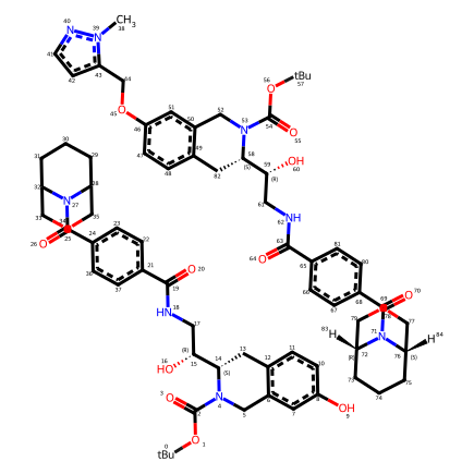 CC(C)(C)OC(=O)N1Cc2cc(O)ccc2C[C@H]1[C@H](O)CNC(=O)c1ccc(C(=O)N2C3CCCC2COC3)cc1.Cn1nccc1COc1ccc2c(c1)CN(C(=O)OC(C)(C)C)[C@H]([C@H](O)CNC(=O)c1ccc(C(=O)N3[C@@H]4CCC[C@H]3COC4)cc1)C2